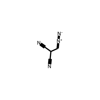 N#CC(C#N)C=[N+]=[N-]